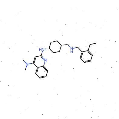 CCc1ccccc1CNC[C@H]1CC[C@@H](Nc2cc(N(C)C)c3ccccc3n2)CC1